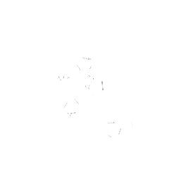 COc1ccccc1N1C=C(COCc2ccccc2Cl)C(Cc2cccnc2)N1